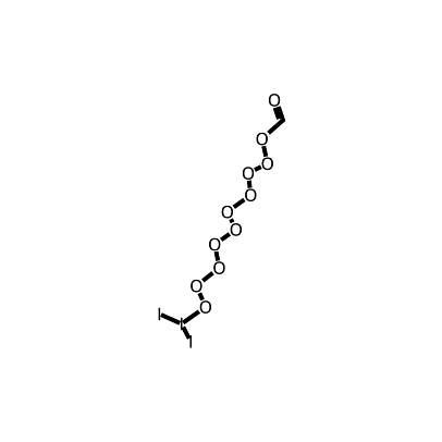 O=COOOOOOOOOOI(I)I